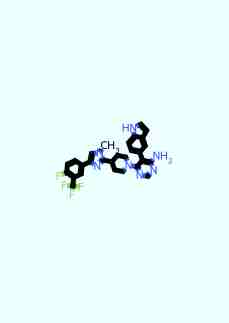 Cn1cc(-c2ccc(F)c(C(F)(F)F)c2)nc1C1CCN(c2ncnc(N)c2-c2ccc3[nH]ccc3c2)CC1